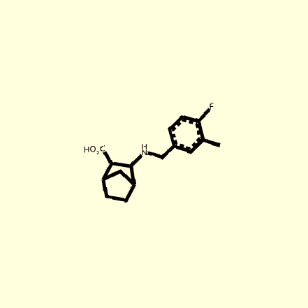 Cc1cc(CNC2C3CCC(C3)C2C(=O)O)ccc1F